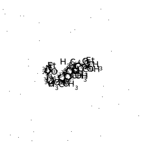 CCO[C@@H](C1C[C@@H](C)[C@H]2C(O1)[C@H](O)[C@@]1(C)C3CC[C@H]4C(C)(C)[C@@H](O[C@H]5CN([C@H]6CCN(CC)C6=O)CCO5)CC[C@@]45C[C@@]35CC[C@]21C)C(C)(C)O